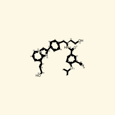 CC(C)Oc1ccc(C(=O)N[C@H](CCO)Cc2ccc(-c3cn4cccc(/C=C/CO)c4n3)cc2)cc1C#N